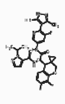 Cc1n[nH]c(C)c1-c1ncc(NC(=O)[C@@H](NC(=O)c2ccnn2C(C)C)C2c3ccc(F)c(F)c3OCC23CC3)cc1F